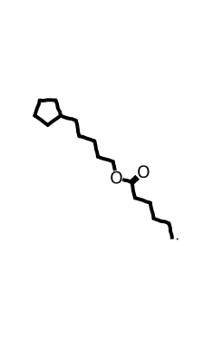 [CH2]CCCCC(=O)OCCCCCC1CCCC1